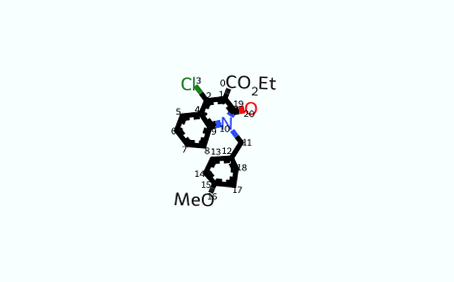 CCOC(=O)c1c(Cl)c2ccccc2n(Cc2ccc(OC)cc2)c1=O